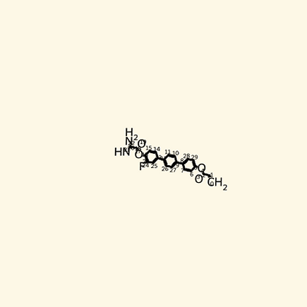 C=CC(=O)Oc1ccc(-c2ccc(-c3ccc(OC(=O)C(=N)N)c(F)c3)cc2)cc1